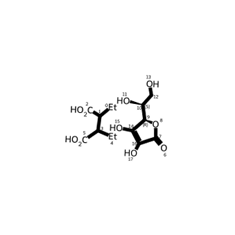 CCC(C(=O)O)C(CC)C(=O)O.O=C1O[C@H]([C@@H](O)CO)C(O)=C1O